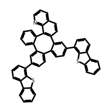 c1ccc2c(c1)-c1cc(-c3cccc4c3sc3ccccc34)ccc1-c1ccc(-c3cccc4c3sc3ccccc34)cc1-c1ccc3cccnc3c1-2